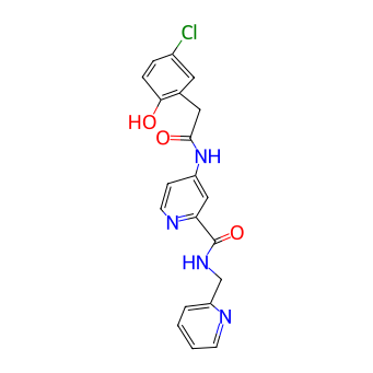 O=C(Cc1cc(Cl)ccc1O)Nc1ccnc(C(=O)NCc2ccccn2)c1